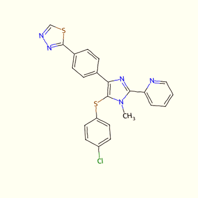 Cn1c(-c2ccccn2)nc(-c2ccc(-c3nncs3)cc2)c1Sc1ccc(Cl)cc1